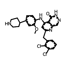 COc1cc(C2CCNCC2)ccc1Nc1cc(Cc2cccc(Cl)c2Cl)nc2cn[nH]c(=O)c12